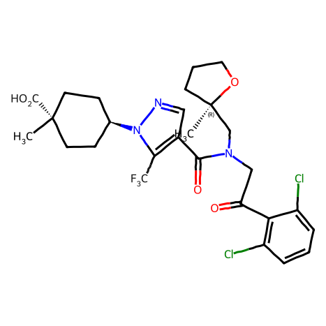 C[C@]1(CN(CC(=O)c2c(Cl)cccc2Cl)C(=O)c2cnn([C@H]3CC[C@](C)(C(=O)O)CC3)c2C(F)(F)F)CCCO1